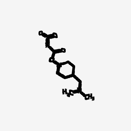 CN(C)CC1CCN(OC(=O)N=S(=O)=O)CC1